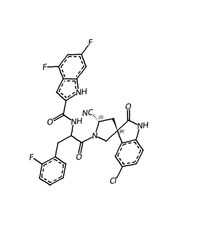 N#C[C@@H]1C[C@@]2(CN1C(=O)C(Cc1ccccc1F)NC(=O)c1cc3c(F)cc(F)cc3[nH]1)C(=O)Nc1ccc(Cl)cc12